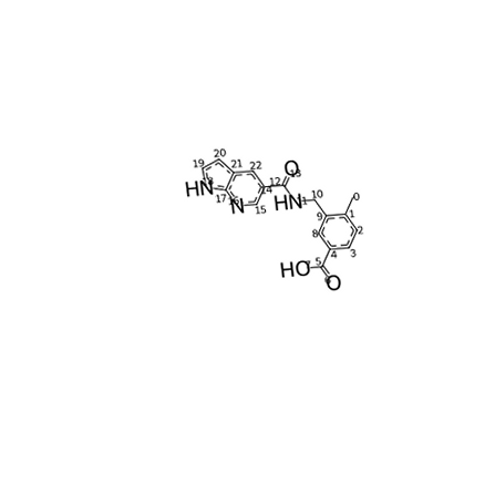 Cc1ccc(C(=O)O)cc1CNC(=O)c1cnc2[nH]ccc2c1